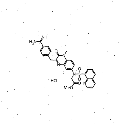 COC(=O)CN(c1ccc2c(c1)nc(Cc1ccc(C(=N)N)cc1)c(=O)n2C)S(=O)(=O)c1cccc2cccnc12.Cl